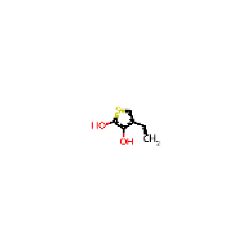 C=Cc1csc(O)c1O